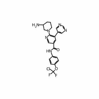 NC1CCCN(c2ncc(C(=O)Nc3ccc(OC(F)(F)Cl)cc3)cc2-c2cncnc2)C1